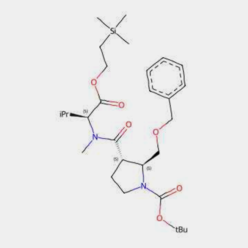 CC(C)[C@@H](C(=O)OCC[Si](C)(C)C)N(C)C(=O)[C@H]1CCN(C(=O)OC(C)(C)C)[C@@H]1COCc1ccccc1